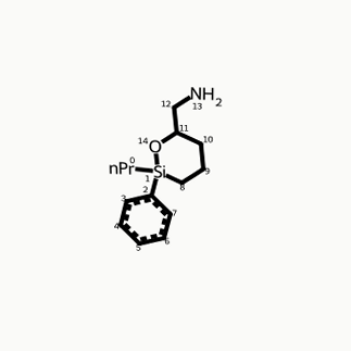 CCC[Si]1(c2ccccc2)CCCC(CN)O1